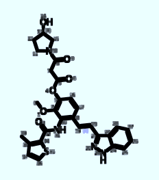 COc1c(OC(=O)CC(=O)N2CC[C@@H](O)C2)ccc(/C=C/c2n[nH]c3ccccc23)c1NC(=O)c1sccc1C